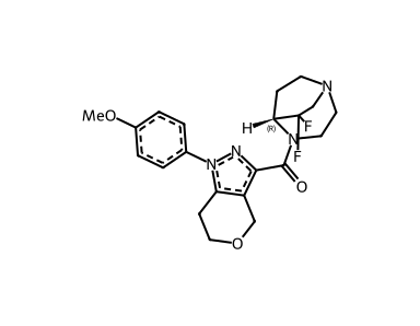 COc1ccc(-n2nc(C(=O)N3CCN4CC[C@@H]3C(F)(F)C4)c3c2CCOC3)cc1